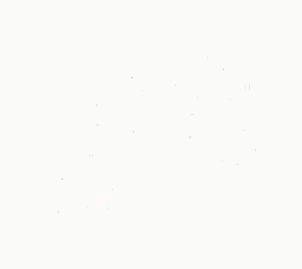 CC1(C)c2cccc(-c3c4ccccc4c(-c4cccc(-c5ccc6oc7ccccc7c6c5)c4)c4ccccc34)c2-c2ccc3ccccc3c21